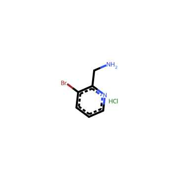 Cl.NCc1ncccc1Br